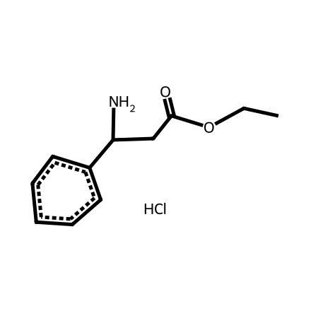 CCOC(=O)CC(N)c1ccccc1.Cl